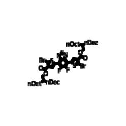 CCCCCCCCCCC(CCCCCCCC)COC(=O)c1cc(-c2c(F)c(F)c(-c3cc(C(=O)OCC(CCCCCCCC)CCCCCCCCCC)c(Br)s3)c3nsnc23)sc1Br